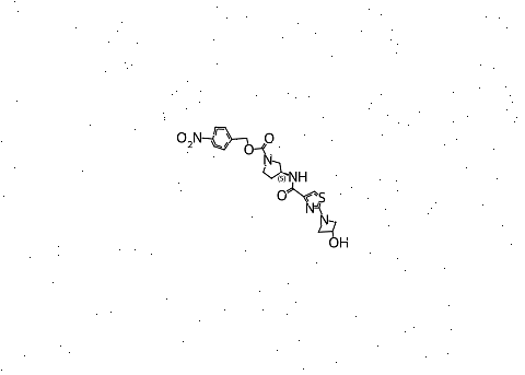 O=C(N[C@H]1CCN(C(=O)OCc2ccc([N+](=O)[O-])cc2)C1)c1csc(N2CC(O)C2)n1